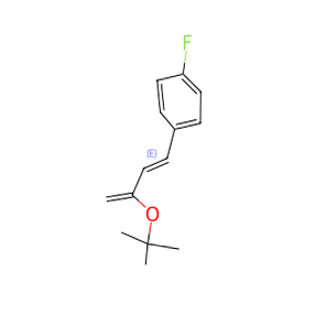 C=C(/C=C/c1ccc(F)cc1)OC(C)(C)C